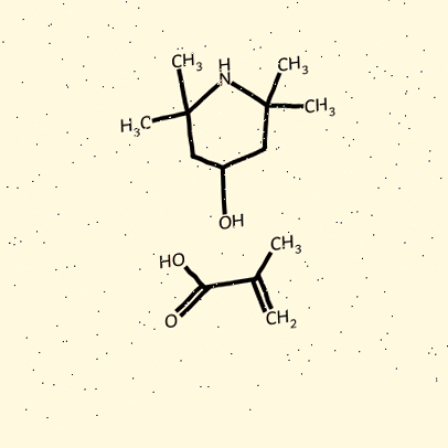 C=C(C)C(=O)O.CC1(C)CC(O)CC(C)(C)N1